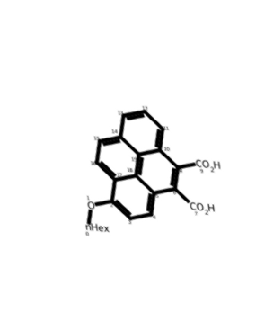 CCCCCCOc1ccc2c(C(=O)O)c(C(=O)O)c3cccc4ccc1c2c43